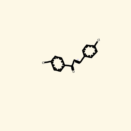 O=C(/C=C/c1ccc(Cl)cc1)c1ccc(Cl)cc1